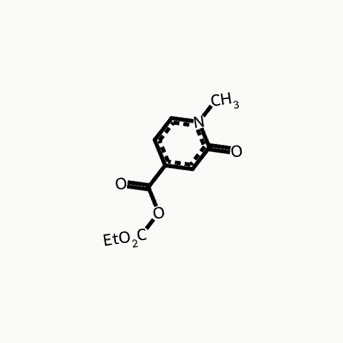 CCOC(=O)OC(=O)c1ccn(C)c(=O)c1